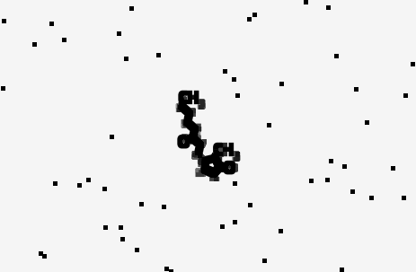 CCCCCC(=O)CC[C@H]1C=CC(=O)C1C